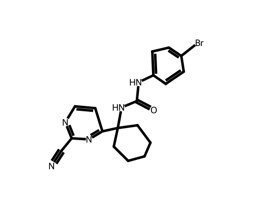 N#Cc1nccc(C2(NC(=O)Nc3ccc(Br)cc3)CCCCC2)n1